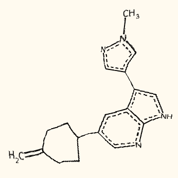 C=C1CCC(c2cnc3[nH]cc(-c4cnn(C)c4)c3c2)CC1